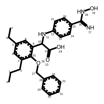 CCCc1cc(CC)cc(C(Nc2ccc(C(=N)NO)cc2)C(=O)O)c1OCc1ccccc1